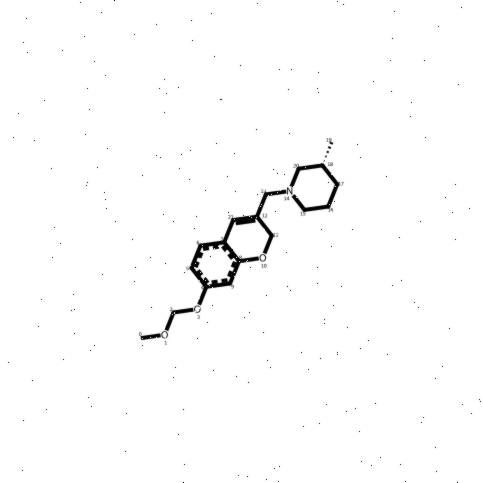 COCOc1ccc2c(c1)OCC(CN1CCC[C@@H](C)C1)=C2